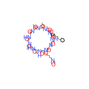 CC[C@@H]1NC(=O)[C@@H]2[C@@H]([C@H](C)CCCc3ccccc3)ON2C(=O)[C@H](C(C)C)N(C)C(=O)[C@H](CC(C)C)N(C)C(=O)[C@H](CC(C)C)N(C)C(=O)[C@@H](C)NC(=O)[C@H](C)NC(=O)[C@H](CC(C)C)N(C)C(=O)[C@H](C(C)C)NC(=O)[C@H]([C@@H](C)OCCCCN2CCOCC2)N(C)C(=O)[C@@H](C)N(C)C1=O